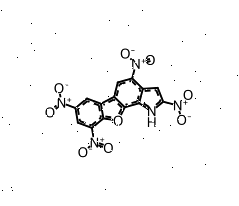 O=[N+]([O-])c1cc([N+](=O)[O-])c2oc3c(cc([N+](=O)[O-])c4cc([N+](=O)[O-])[nH]c43)c2c1